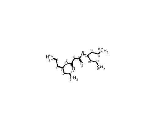 CCCC(CCC)OC(=O)CC(=O)OC(CCC)CCC